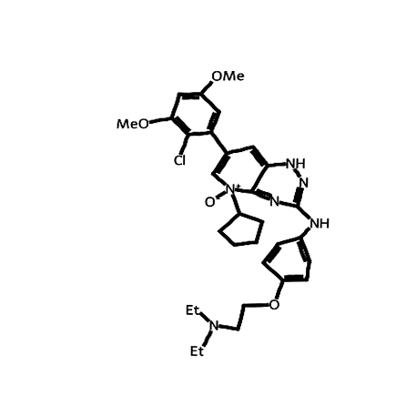 CCN(CC)CCOc1ccc(NC2=NNC3=CC(c4cc(OC)cc(OC)c4Cl)=C[N+]([O-])(C4CCCC4)C3=N2)cc1